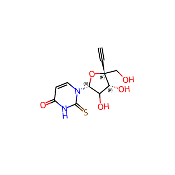 C#C[C@]1(CO)O[C@@H](n2ccc(=O)[nH]c2=S)C(O)[C@H]1O